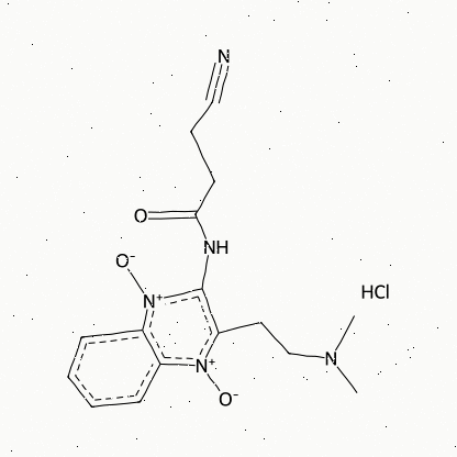 CN(C)CCc1c(NC(=O)CCC#N)[n+]([O-])c2ccccc2[n+]1[O-].Cl